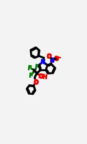 O=[N+]([O-])c1cccc2c(C(O)(COc3ccccc3)C(F)(F)F)cn(Cc3ccccc3)c12